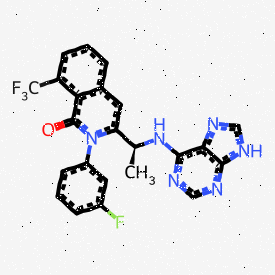 C[C@H](Nc1ncnc2[nH]cnc12)c1cc2cccc(C(F)(F)F)c2c(=O)n1-c1cccc(F)c1